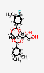 Cc1ccc(C2O[C@H]([C@H](O)CO)[C@@H]3OC(c4ccc(F)c(C)c4)OC[C@@H]3O2)cc1C